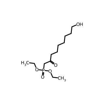 CCOP(=O)(CC(=O)CCCCCCCO)OCC